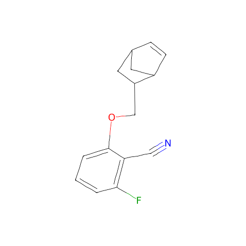 N#Cc1c(F)cccc1OCC1CC2C=CC1C2